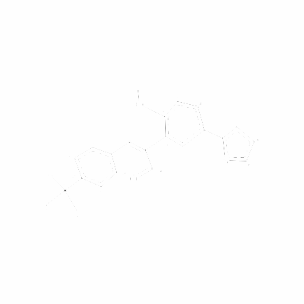 COc1ccc(-c2cccs2)cc1C(C=O)=Cc1ccc(C(C)(C)C)cc1